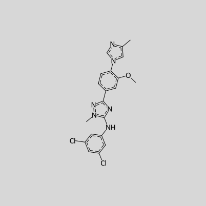 COc1cc(-c2nc(Nc3cc(Cl)cc(Cl)c3)n(C)n2)ccc1-n1cnc(C)c1